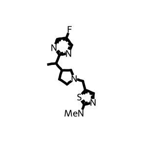 CNc1ncc(CN2CCC(C(C)c3ncc(F)cn3)C2)s1